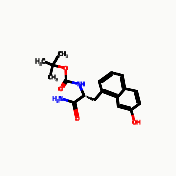 CC(C)(C)OC(=O)N[C@H](Cc1cccc2ccc(O)cc12)C(N)=O